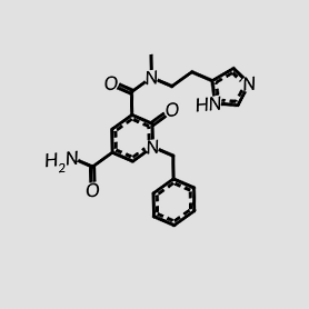 CN(CCc1cnc[nH]1)C(=O)c1cc(C(N)=O)cn(Cc2ccccc2)c1=O